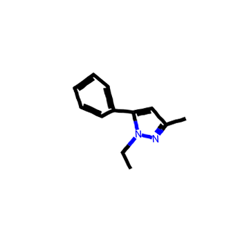 CCn1nc(C)cc1-c1ccccc1